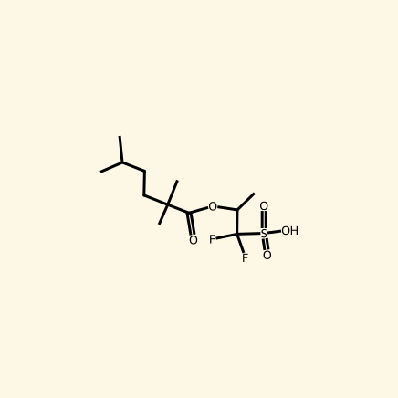 CC(C)CCC(C)(C)C(=O)OC(C)C(F)(F)S(=O)(=O)O